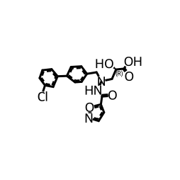 O=C(NN(Cc1ccc(-c2cccc(Cl)c2)cc1)C[C@@H](O)C(=O)O)c1ccno1